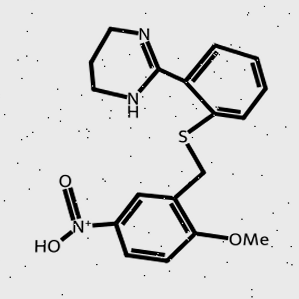 COc1ccc([N+](=O)O)cc1CSc1ccccc1C1=NCCCN1